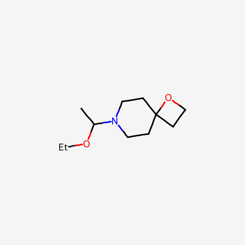 CCOC(C)N1CCC2(CCO2)CC1